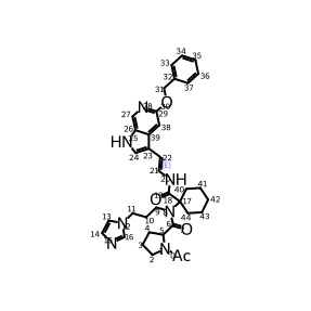 CC(=O)N1CCCC1C(=O)N(CCCn1ccnc1)C1(C(=O)N/C=C/c2c[nH]c3cnc(OCc4ccccc4)cc23)CCCCC1